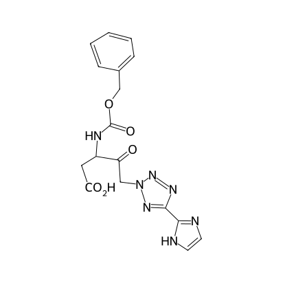 O=C(O)CC(NC(=O)OCc1ccccc1)C(=O)Cn1nnc(-c2ncc[nH]2)n1